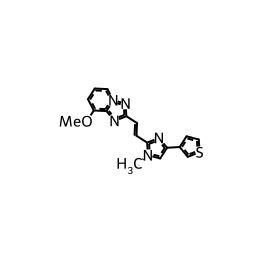 COc1cccn2nc(C=Cc3nc(-c4ccsc4)cn3C)nc12